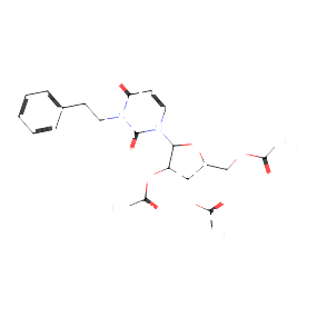 CC(=O)OCC1OC(n2ccc(=O)n(CCc3ccccc3)c2=O)C(OC(C)=O)[C@H]1OC(C)=O